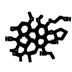 CCNc1c(NC2CCCC2)c2c(=O)c(SCCO)c(OC)c3c4c(OC)cc(=O)c5c(O)c(OC)c6c(c(c1C=C(C)C6C(C)=O)c23)c54